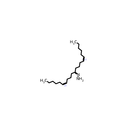 CCCCC/C=C\CCCC(CCC/C=C\CCCCC)=NN